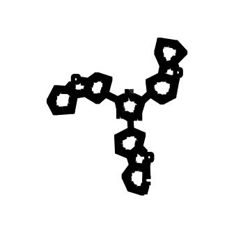 c1ccc2c(c1)oc1cc(-c3nc(-c4ccc5oc6ccccc6c5c4)nc(-c4ccc5oc6ccccc6c5c4)n3)ccc12